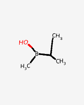 CB(O)C(C)C